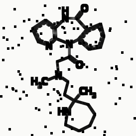 CN(CCC1(C)CCCCCN1)CC(=O)N1c2ccccc2C(=O)Nc2cccnc21